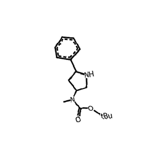 CN(C(=O)OC(C)(C)C)C1CNC(c2ccccc2)C1